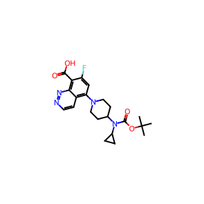 CC(C)(C)OC(=O)N(C1CC1)C1CCN(c2cc(F)c(C(=O)O)c3nnccc23)CC1